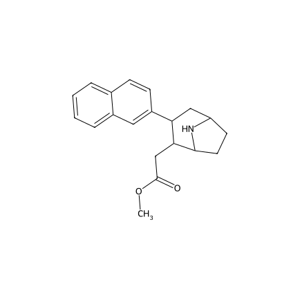 COC(=O)CC1C2CCC(CC1c1ccc3ccccc3c1)N2